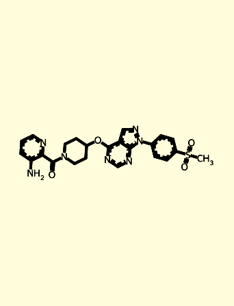 CS(=O)(=O)c1ccc(-n2ncc3c(OC4CCN(C(=O)c5ncccc5N)CC4)ncnc32)cc1